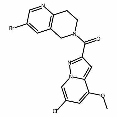 COc1cc(Cl)cn2nc(C(=O)N3CCc4ncc(Br)cc4C3)cc12